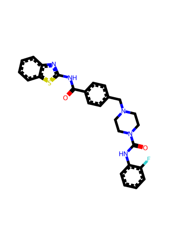 O=C(Nc1nc2ccccc2s1)c1ccc(CN2CCN(C(=O)Nc3ccccc3F)CC2)cc1